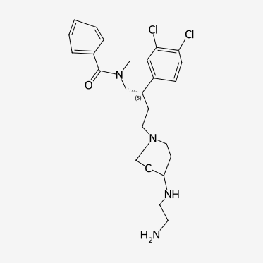 CN(C[C@@H](CCN1CCC(NCCN)CC1)c1ccc(Cl)c(Cl)c1)C(=O)c1ccccc1